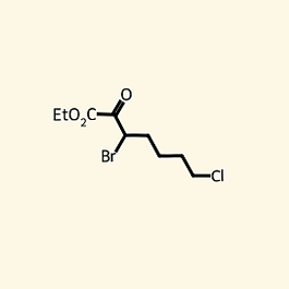 CCOC(=O)C(=O)C(Br)CCCCCl